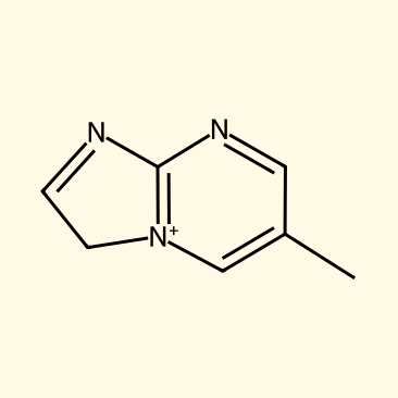 Cc1cnc2[n+](c1)CC=N2